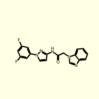 O=C(Cn1cnc2ccccc21)Nc1ccn(-c2cc(F)cc(F)c2)n1